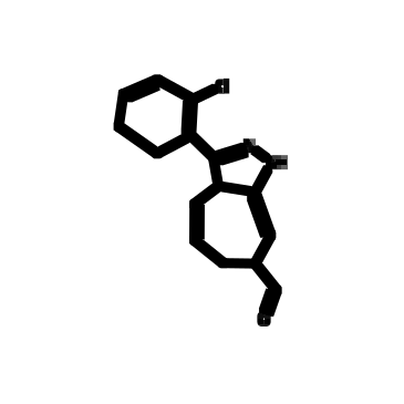 O=CC1C=C2NN=C(C3=C(Cl)C=CCC3)C2C=CC1